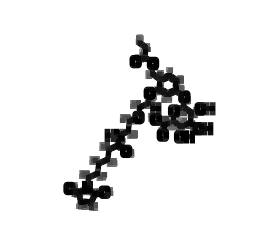 CCC(=O)OCc1ccc(O[C@@H]2O[C@H](C(=O)O)[C@@H](O)[C@H](O)[C@H]2O)cc1OCCOCCNC(=O)CCCCCN1C(=O)C=CC1=O